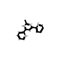 Cc1nc(-c2ccccn2)cc(-c2ccccn2)n1